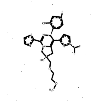 COCCOC[C@]1(O)CC2=C(c3ccn(C(F)F)n3)[C@H](c3ccc(F)cc3Cl)N=C(c3nccs3)N2C1